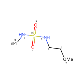 CCCNS(=O)(=O)NCCOC